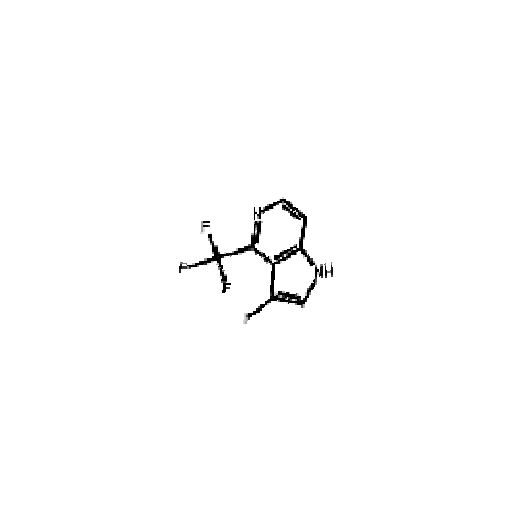 FC(F)(F)c1nccc2[nH]cc(I)c12